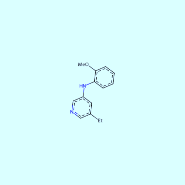 CCc1cncc(Nc2ccccc2OC)c1